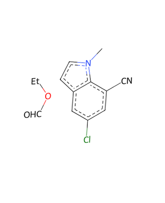 CCOC=O.Cn1ccc2cc(Cl)cc(C#N)c21